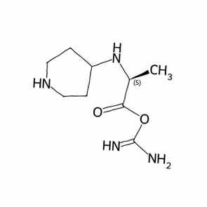 C[C@H](NC1CCNCC1)C(=O)OC(=N)N